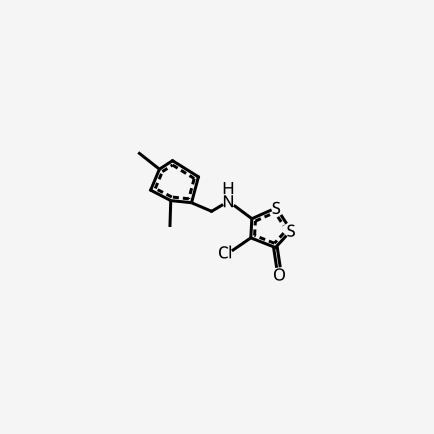 Cc1ccc(CNc2ssc(=O)c2Cl)c(C)c1